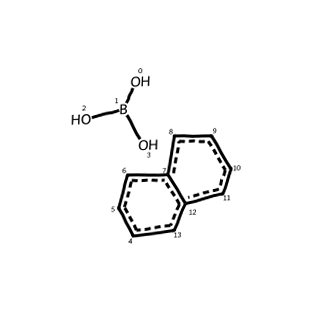 OB(O)O.c1ccc2ccccc2c1